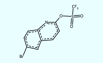 O=S(=O)(Oc1ccc2cc(Br)ccc2n1)C(F)(F)F